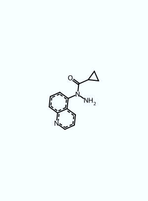 NN(C(=O)C1CC1)c1cccc2ncccc12